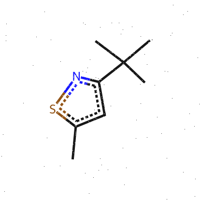 Cc1cc(C(C)(C)C)ns1